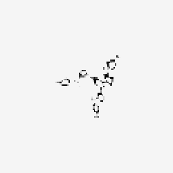 CC(C)(C)c1ccc(Nc2cccc(-c3cc(-c4cccc(Nc5ccc(C(C)(C)C)cc5)c4)cc(-c4cccc(Nc5ccc(C(C)(C)C)cc5)c4)c3)c2)cc1